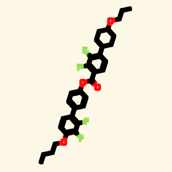 CCCCOc1ccc(-c2ccc(OC(=O)c3ccc(C4CCC(OCCC)CC4)c(F)c3F)cc2)c(F)c1F